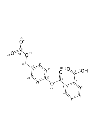 O=C(O)c1ccccc1C(=O)Oc1ccc(CO[N+](=O)[O-])cc1